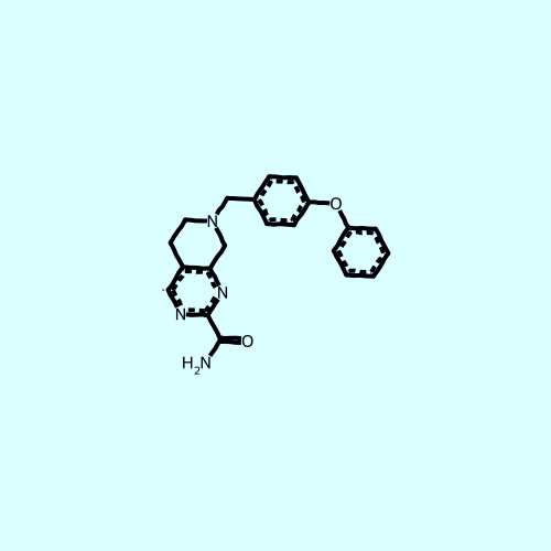 NC(=O)c1n[c]c2c(n1)CN(Cc1ccc(Oc3ccccc3)cc1)CC2